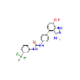 Nc1n[nH]c2c(O)ccc(-c3ccc(NC(=O)Nc4cccc(C(F)(F)F)c4)cc3)c12